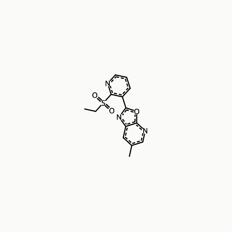 CCS(=O)(=O)c1ncccc1-c1nc2cc(C)cnc2o1